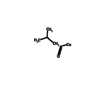 C[C](C)C.O=[CH][Co]